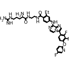 CCc1cc(Nc2nccn3c(-c4ccc(Oc5ccc(F)cn5)c(F)c4F)cnc23)ccc1C(=O)NCCNC(=O)[C@H](N)CCCNC(=N)N